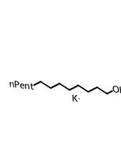 CCCCCCCCCCCCCO.[K]